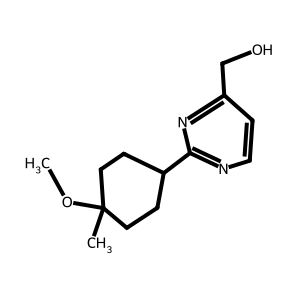 COC1(C)CCC(c2nccc(CO)n2)CC1